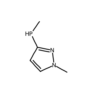 CPc1ccn(C)n1